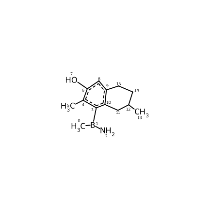 CB(N)c1c(C)c(O)cc2c1CC(C)CC2